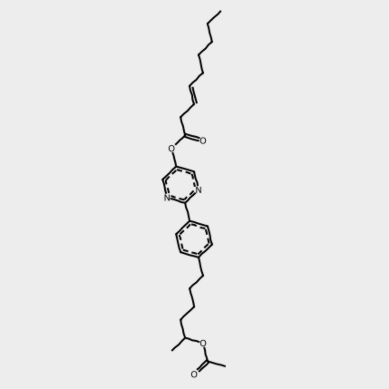 CCCCCC=CCC(=O)Oc1cnc(-c2ccc(CCCCC(C)OC(C)=O)cc2)nc1